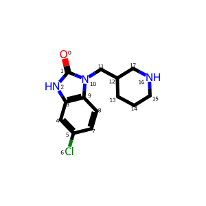 O=c1[nH]c2cc(Cl)ccc2n1CC1CCCNC1